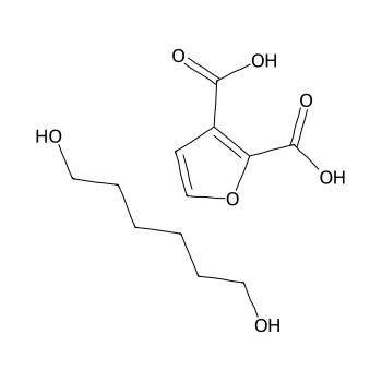 O=C(O)c1ccoc1C(=O)O.OCCCCCCO